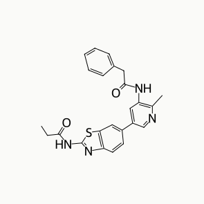 CCC(=O)Nc1nc2ccc(-c3cnc(C)c(NC(=O)Cc4ccccc4)c3)cc2s1